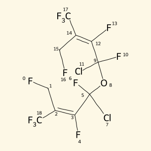 FCC(=C(F)C(F)(Cl)OC(F)(Cl)C(F)=C(CF)C(F)(F)F)C(F)(F)F